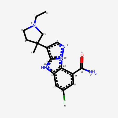 CCN1CCC(C)(c2cnn3c2[nH]c2cc(F)cc(C(N)=O)c23)C1